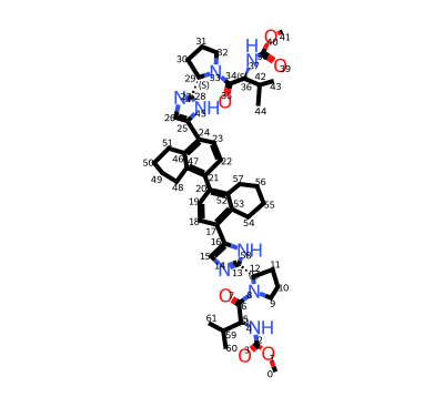 COC(=O)N[C@H](C(=O)N1CCC[C@H]1c1ncc(-c2ccc(-c3ccc(-c4cnc([C@@H]5CCCN5C(=O)[C@@H](NC(=O)OC)C(C)C)[nH]4)c4c3CCCC4)c3c2CCCC3)[nH]1)C(C)C